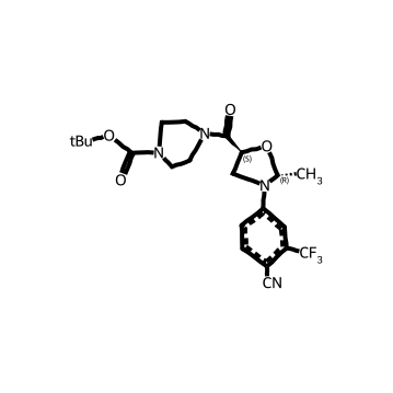 C[C@H]1O[C@H](C(=O)N2CCN(C(=O)OC(C)(C)C)CC2)CN1c1ccc(C#N)c(C(F)(F)F)c1